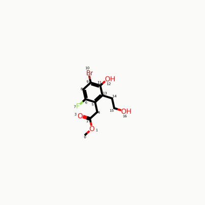 COC(=O)Cc1c(F)cc(Br)c(O)c1CCO